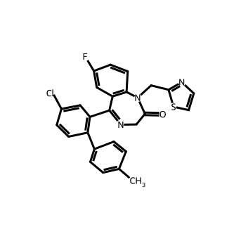 Cc1ccc(-c2ccc(Cl)cc2C2=NCC(=O)N(Cc3nccs3)c3ccc(F)cc32)cc1